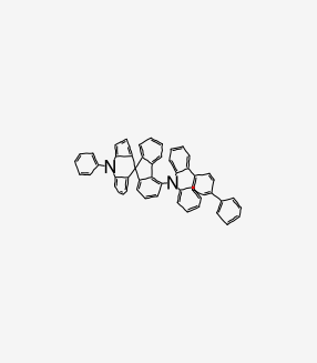 c1ccc(-c2ccc(-c3ccccc3N(c3ccccc3)c3cccc4c3-c3ccccc3C43c4ccccc4N(c4ccccc4)c4ccccc43)cc2)cc1